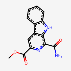 COC(=O)c1cc2c([nH]c3ccccc32)c(C(N)=O)n1